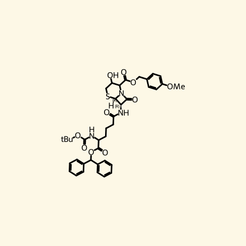 COc1ccc(COC(=O)C2C(O)CS[C@@H]3[C@H](NC(=O)CCCC(NC(=O)OC(C)(C)C)C(=O)OC(c4ccccc4)c4ccccc4)C(=O)N23)cc1